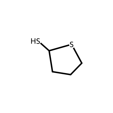 SC1CCCS1